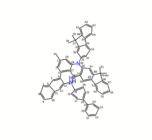 Cc1cc(-c2cc3ccccc3cc2Nc2ccc(-c3ccccc3)cc2)c2c(c1)N(c1ccc3c(c1)C(C)(C)c1ccccc1-3)c1cc3c(cc1B2)-c1ccccc1C3(C)C